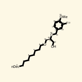 CCCCCCCCCCCCCCCCCCOC[C@H](CO)OCc1ccc(OC)c(F)c1